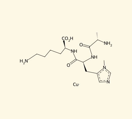 C[C@H](N)C(=O)N[C@@H](Cc1cncn1C)C(=O)N[C@@H](CCCCN)C(=O)O.[Cu]